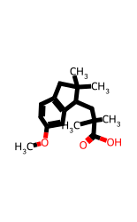 COc1ccc2c(c1)C(CC(C)(C)C(=O)O)C(C)(C)C2